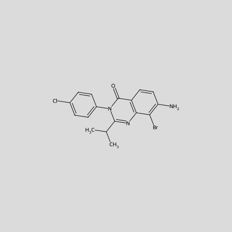 CC(C)c1nc2c(Br)c(N)ccc2c(=O)n1-c1ccc(Cl)cc1